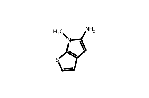 Cn1c(N)cc2ccsc21